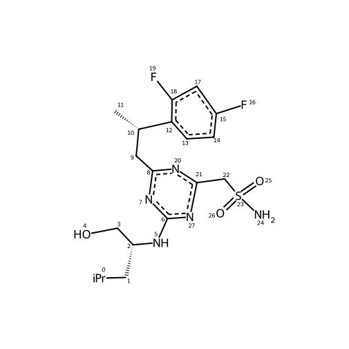 CC(C)C[C@H](CO)Nc1nc(C[C@H](C)c2ccc(F)cc2F)nc(CS(N)(=O)=O)n1